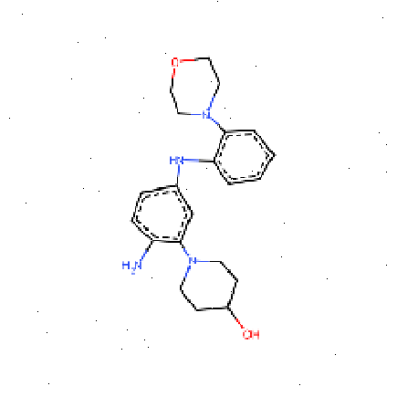 Nc1ccc(Nc2ccccc2N2CCOCC2)cc1N1CCC(O)CC1